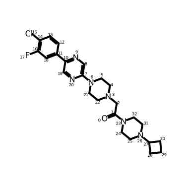 O=C(CN1CCN(c2cnc(-c3ccc(Cl)c(F)c3)cn2)CC1)N1CCN(C2CCC2)CC1